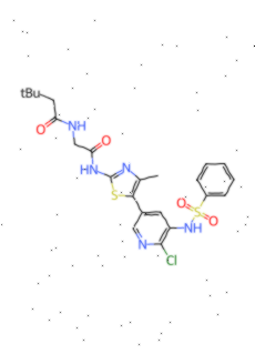 Cc1nc(NC(=O)CNC(=O)CC(C)(C)C)sc1-c1cnc(Cl)c(NS(=O)(=O)c2ccccc2)c1